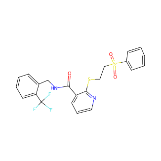 O=C(NCc1ccccc1C(F)(F)F)c1cccnc1SCCS(=O)(=O)c1ccccc1